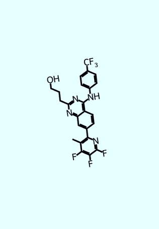 Cc1c(-c2ccc3c(Nc4ccc(C(F)(F)F)cc4)nc(CCCO)nc3c2)nc(F)c(F)c1F